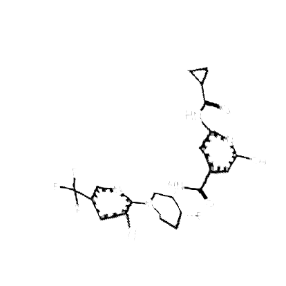 Cc1cc(C(=O)N[C@H]2CN(c3ncc(C(F)(F)F)cc3Cl)CC[C@H]2F)cc(NC(=O)C2CC2)n1